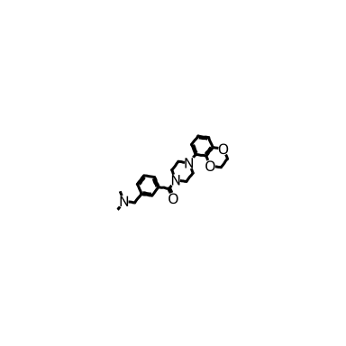 CN(C)Cc1cccc(C(=O)N2CCN(c3cccc4c3OCCO4)CC2)c1